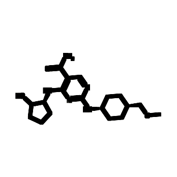 COC[C@H]1CC[C@H](Nc2ncc(C(N)=O)c(N[C@H]3CCCC3O)n2)CC1